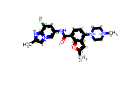 Cc1cn2cc(NC(=O)c3ccc(N4CCN(C)CC4)c4cc(C)oc34)cc(F)c2n1